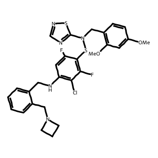 COc1ccc(CN(Sc2c(F)cc(NCc3ccccc3CN3CCC3)c(Cl)c2F)c2ncns2)c(OC)c1